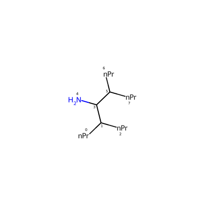 CCCC(CCC)C(N)C(CCC)CCC